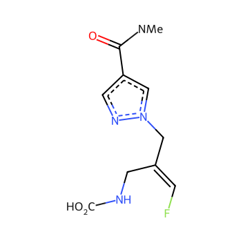 CNC(=O)c1cnn(CC(=CF)CNC(=O)O)c1